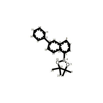 CC1(C)OB(c2cccc3cc(-c4ccccc4)ccc23)OC1(C)C